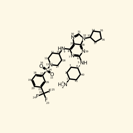 N[C@H]1CC[C@H](Nc2nc(NC3CCN(S(=O)(=O)c4cccc(C(F)(F)F)c4)CC3)c3ncn(C4CCCC4)c3n2)CC1